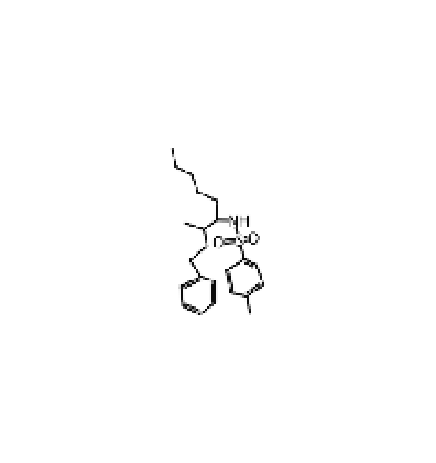 CCCCCC(NS(=O)(=O)c1ccc(C)cc1)C(C)CCc1ccccc1